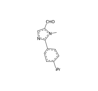 CC(C)c1ccc(-c2ncc(C=O)n2C)cc1